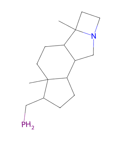 CC12CCC3C(CN4CCC34C)C1CCC2CP